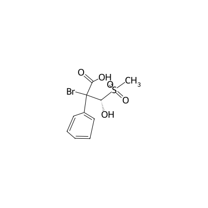 CS(=O)(=O)[C@H](O)C(Br)(C(=O)O)c1ccccc1